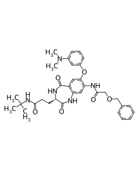 CN(C)c1cccc(Oc2cc3c(cc2NC(=O)COCc2ccccc2)NC(=O)[C@@H](CCC(=O)NC(C)(C)C)NC3=O)c1